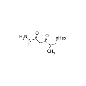 CCCCCCCN(C)C(=O)CC(=O)NN